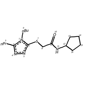 CCCCn1c(CCC)nnc1SCC(=O)NC1CCCC1